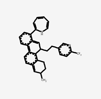 [CH2]C1C=c2ccc3c(c2CC1)C(CCc1ccc(C(F)(F)F)nc1)C=c1c(C2=CC=CC=CN2)cccc1=3